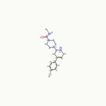 CN(C)C(=O)N1CCN(C2CC(c3ccc(Cl)cc3)=CCN2)CC1